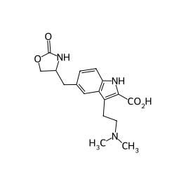 CN(C)CCc1c(C(=O)O)[nH]c2ccc(CC3COC(=O)N3)cc12